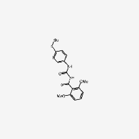 COc1cccc(OC)c1C(=O)NC(=O)Nc1ccc(SC(C)(C)C)nc1